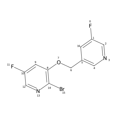 Fc1cncc(COc2cc(F)cnc2Br)c1